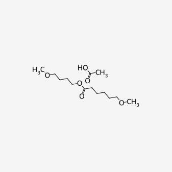 CC(=O)O.COCCCCCC(=O)OCCCCOC